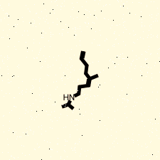 C=CCC/C(C)=C\CCNC(C)C